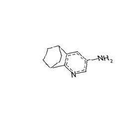 Nc1cnc2c(c1)C1CCC2CC1